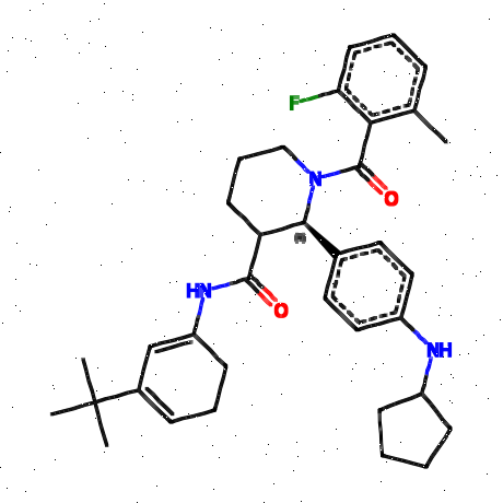 Cc1cccc(F)c1C(=O)N1CCCC(C(=O)NC2=CC(C(C)(C)C)=CCC2)[C@@H]1c1ccc(NC2CCCC2)cc1